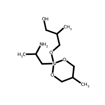 CC(N)C[Si]1(OCC(C)CO)OCC(C)CO1